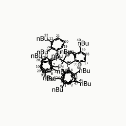 CCCCc1cccc(P(c2cccc(CCCC)c2CCCC)C(CCC)(P(c2cccc(CCCC)c2CCCC)c2cccc(CCCC)c2CCCC)P(c2cccc(CCCC)c2CCCC)c2cccc(CCCC)c2CCCC)c1CCCC